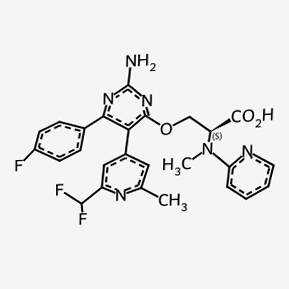 Cc1cc(-c2c(OC[C@@H](C(=O)O)N(C)c3ccccn3)nc(N)nc2-c2ccc(F)cc2)cc(C(F)F)n1